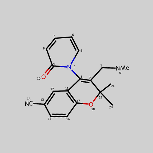 CNCC1=C(n2ccccc2=O)c2cc(C#N)ccc2OC1(C)C